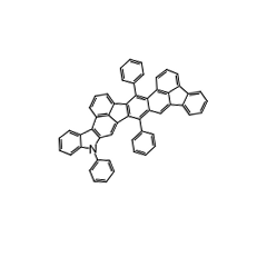 c1ccc(-c2c3cc4c5ccccc5c5cccc(c3c(-c3ccccc3)c3c6cccc7c6c(cc6c7c7ccccc7n6-c6ccccc6)c23)c54)cc1